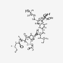 CC[C@H](C)CC(=O)N(C)C(C[C@@H](OC(C)=O)c1nc(N[C@@H](Cc2ccc(NP(O)O)c(NC(=O)CCC(C)(C)S)c2)CC(C)C)cs1)C(C)C